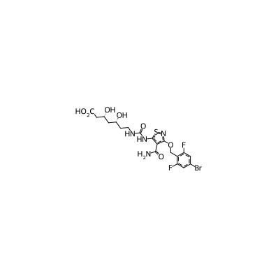 NC(=O)c1c(OCc2c(F)cc(Br)cc2F)nsc1NC(=O)NCC[C@@H](O)C[C@@H](O)CC(=O)O